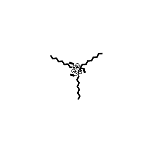 C=C[Si]1(CCCCCCCC)O[Si](C=C)(CCCCCCCC)O[Si](C=C)(CCCCCCCC)O1